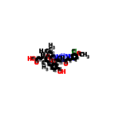 COc1ccc(C[C@@H](N)C(=O)NCC(C)(C)C(=O)N[C@@H](CC(C)(C)C)C(=O)O[C@@H](C/C=C/C(=O)O)[C@H](C)/C=C/c2ccc(CO)cc2)cc1Cl